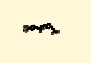 CC(C)N1CCC(CCN2CC(CN3CCN(CCCC(=O)O)CC3)OC2=O)CC1